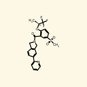 C[C@H](Oc1ccc(S(C)(=O)=O)cc1C(=O)N1Cc2ccc(-c3ccccn3)cc2C1)C(F)(F)F